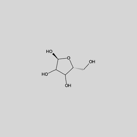 OC[C@H]1O[C@H](O)C(O)C1O